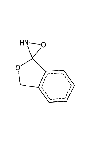 c1ccc2c(c1)COC21NO1